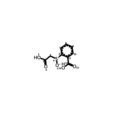 O=C(O)C[S+]([O-])c1ccccc1C(=O)O